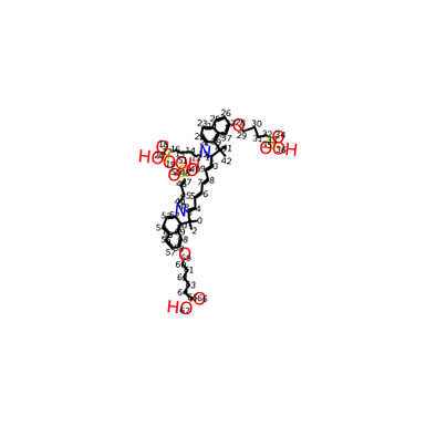 CC1(C)C(=CC=CC=CC=CC2N(CCCCS(=O)(=O)O)c3ccc4ccc(OCCCCS(=O)(=O)O)cc4c3C2(C)C)N(CCCCS(=O)(=O)O)c2ccc3ccc(OCCCCCC(=O)O)cc3c21